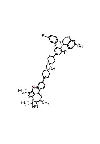 Cc1sc2c(c1C)C(c1ccc(N3CCC(O)(CN4CCC(c5cc(F)c([C@@H]6c7ccc(O)cc7CC[C@@H]6c6ccc(F)cc6)c(F)c5)CC4)CC3)cc1F)=N[C@@H](C)c1nnc(C)n1-2